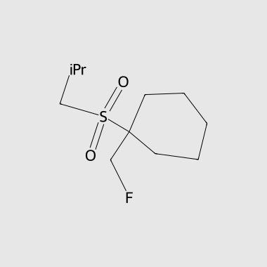 CC(C)CS(=O)(=O)C1(CF)CCCCC1